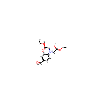 CCOC(=O)CN(CC(=O)OCC)c1ccc(C=O)cc1